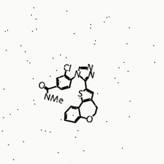 CNC(=O)c1ccc(-n2cnnc2-c2cc3c(s2)-c2ccccc2OCC3)c(Cl)c1